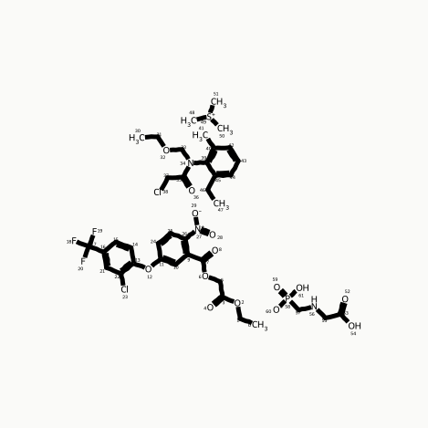 CCOC(=O)COC(=O)c1cc(Oc2ccc(C(F)(F)F)cc2Cl)ccc1[N+](=O)[O-].CCOCN(C(=O)CCl)c1c(C)cccc1CC.C[S+](C)C.O=C(O)CNCP(=O)([O-])O